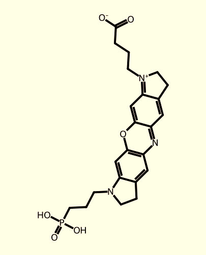 O=C([O-])CCC[N+]1=c2cc3c(cc2CC1)=Nc1cc2c(cc1O3)N(CCCP(=O)(O)O)CC2